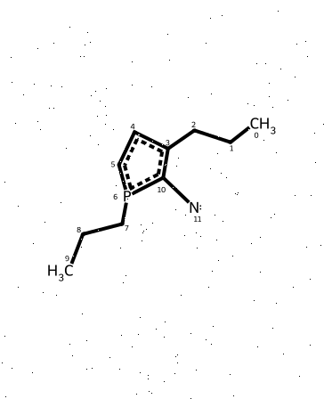 CCCc1ccp(CCC)c1[N]